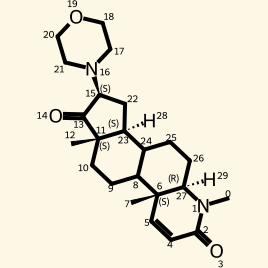 CN1C(=O)C=C[C@]2(C)C3CC[C@]4(C)C(=O)[C@@H](N5CCOCC5)C[C@H]4C3CC[C@@H]12